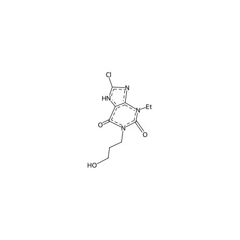 CCn1c(=O)n(CCCO)c(=O)c2[nH]c(Cl)nc21